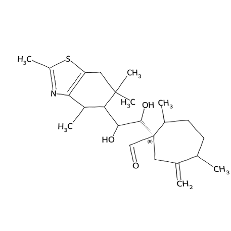 C=C1C[C@](C=O)(C(O)C(O)C2C(C)c3nc(C)sc3CC2(C)C)C(C)CCC1C